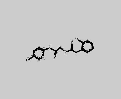 O=C(Cc1ccccc1F)NCC(=O)Nc1ccc(Cl)cn1